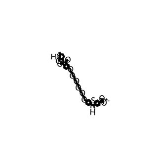 C=C1CCC(N2C(=O)c3ccc(OCCOCCOCCOCCOCCOc4ccc5c(c4)Sc4cc([N+](=O)[O-])ccc4N5)cc3C2=O)C(=O)N1